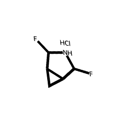 Cl.FC1NC(F)C2CC12